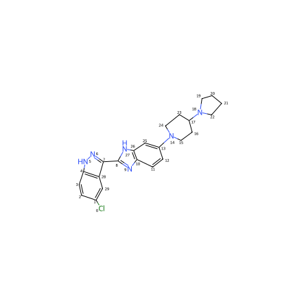 Clc1ccc2[nH]nc(-c3nc4ccc(N5CCC(N6CCCC6)CC5)cc4[nH]3)c2c1